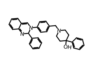 OC1(c2ccccc2)CCN(Cc2ccc(N3C=c4ccccc4=NC3c3ccccc3)cc2)CC1